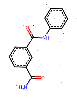 NC(=O)c1cccc(C(=O)Nc2ccccc2)c1